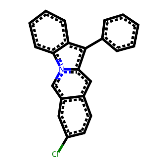 Clc1ccc2cc3c(-c4ccccc4)c4ccccc4n3cc2c1